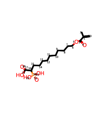 C=C(C)C(=O)OCCCCCCCCCCC(C(=O)O)P(=O)(O)O